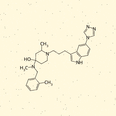 Cc1ccccc1CN(C)C1(O)CCN(CCCc2c[nH]c3ccc(-n4cnnc4)cc23)C(C)C1